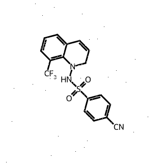 N#Cc1ccc(S(=O)(=O)NN2CC=Cc3cccc(C(F)(F)F)c32)cc1